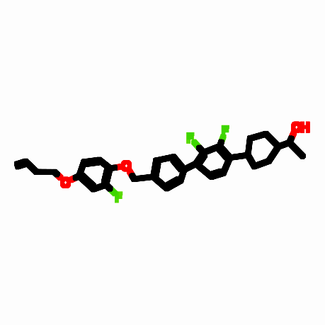 C=CCCOc1ccc(OCc2ccc(-c3ccc(C4CCC(C(C)O)CC4)c(F)c3F)cc2)c(F)c1